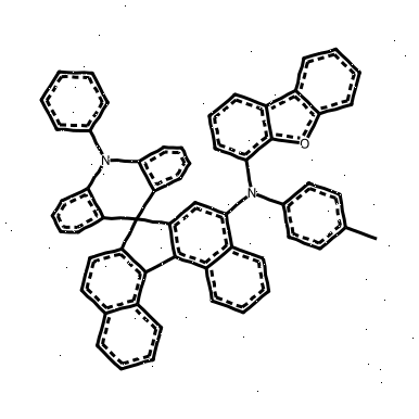 Cc1ccc(N(c2cc3c(c4ccccc24)-c2c(ccc4ccccc24)C32c3ccccc3N(c3ccccc3)c3ccccc32)c2cccc3c2oc2ccccc23)cc1